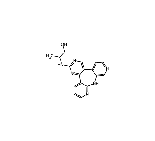 CC(CO)Nc1ncc2c(n1)-c1cccnc1Nc1cnccc1-2